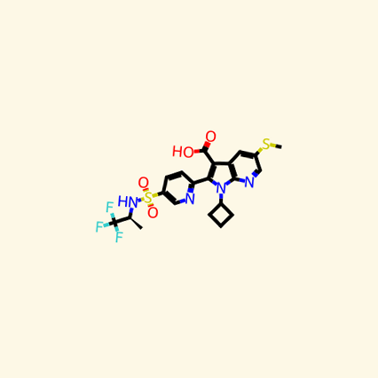 CSc1cnc2c(c1)c(C(=O)O)c(-c1ccc(S(=O)(=O)N[C@@H](C)C(F)(F)F)cn1)n2C1CCC1